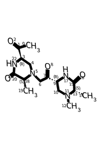 CC(=O)[C@H]1CN(CC(=O)[C@H]2CN(C)[C@@H](C)C(=O)N2)[C@@H](C)C(=O)N1